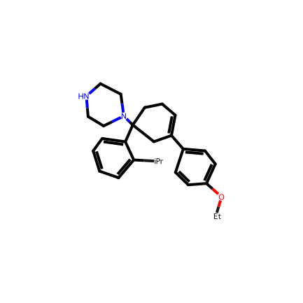 CCOc1ccc(C2=CCCC(c3ccccc3C(C)C)(N3CCNCC3)C2)cc1